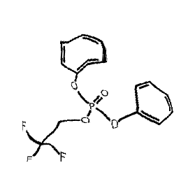 O=P(OCC(F)(F)F)(Oc1ccccc1)Oc1ccccc1